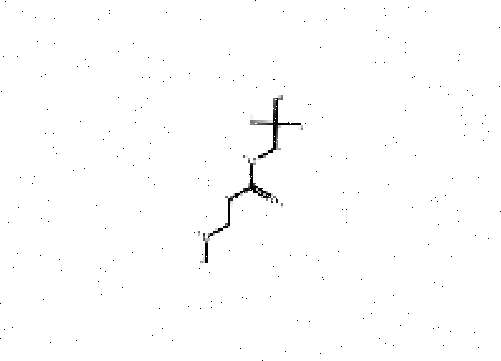 COCCC(=O)OCC(C)(C)C